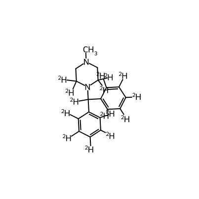 [2H]c1c([2H])c([2H])c(C([2H])(c2c([2H])c([2H])c([2H])c([2H])c2[2H])N2C([2H])([2H])CN(C)CC2([2H])[2H])c([2H])c1[2H]